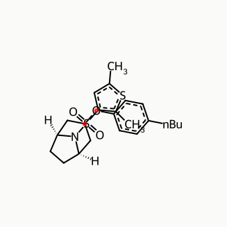 CCCCc1ccc(OC2C[C@H]3CC[C@@H](C2)N3S(=O)(=O)c2cc(C)sc2C)cc1